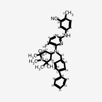 Cc1ccc(Nc2ncc(F)c(N(Cc3ccc(-c4ccccc4)cc3)C3CC(C)(C)N(C)C(C)(C)C3)n2)cc1C#N